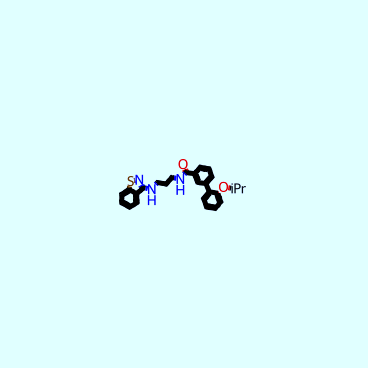 CC(C)Oc1ccccc1-c1cccc(C(=O)NCCCNc2nsc3ccccc23)c1